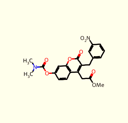 COC(=O)Cc1c(Cc2cccc([N+](=O)[O-])c2)c(=O)oc2cc(OC(=O)N(C)C)ccc12